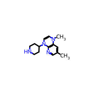 Cc1cnc2c(c1)N(C)C=CN2C1CCNCC1